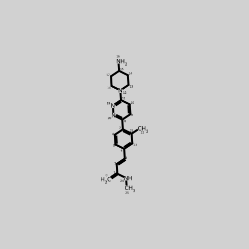 C=C(/C=C/c1ccc(-c2ccc(N3CCC(N)CC3)nn2)c(C)c1)NC